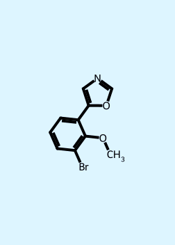 COc1c(Br)cccc1-c1cnco1